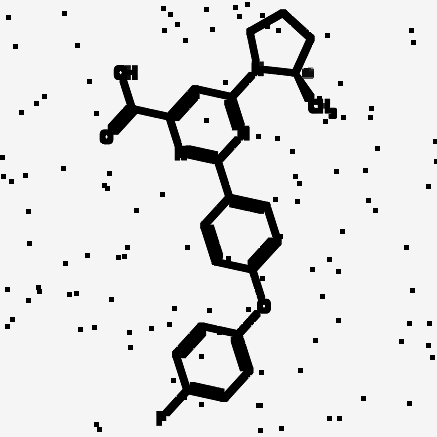 C[C@@H]1CCCN1c1cc(C(=O)O)nc(-c2ccc(Oc3ccc(F)cc3)cc2)n1